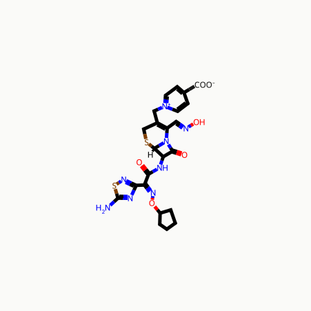 Nc1nc(C(=NOC2CCCC2)C(=O)NC2C(=O)N3C(C=NO)=C(C[n+]4ccc(C(=O)[O-])cc4)CS[C@@H]23)ns1